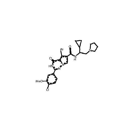 COc1cc(-c2nn3cc(C(=O)NC(CN4CCCC4)C4CC4)c(C(C)C)c3c(=O)[nH]2)ccc1Cl